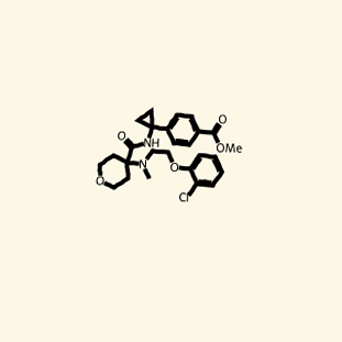 COC(=O)c1ccc(C2(NC(=O)C3(N(C)CCOc4ccccc4Cl)CCOCC3)CC2)cc1